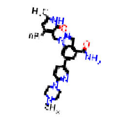 CCCc1cc(C)[nH]c(=O)c1Cn1ncc2c(C(N)=O)cc(-c3ccc(N4CCN(C)CC4)nc3)cc21